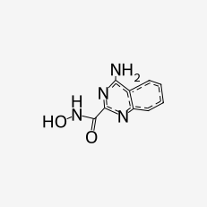 Nc1nc(C(=O)NO)nc2ccccc12